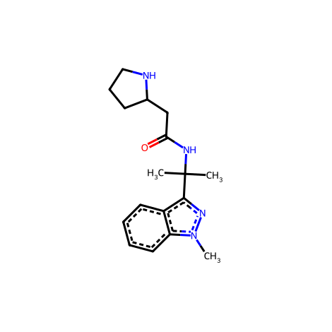 Cn1nc(C(C)(C)NC(=O)CC2CCCN2)c2ccccc21